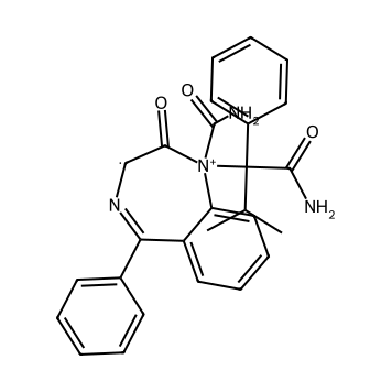 CC(C)C(C(N)=O)(c1ccccc1)[N+]1(C(N)=O)C(=O)[CH]N=C(c2ccccc2)c2ccccc21